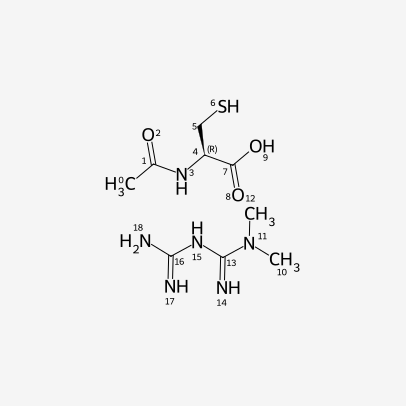 CC(=O)N[C@@H](CS)C(=O)O.CN(C)C(=N)NC(=N)N